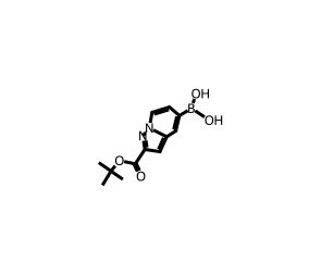 CC(C)(C)OC(=O)c1cc2cc(B(O)O)ccn2n1